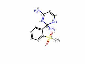 CS(=O)(=O)c1ccccc1C1(N)N=C(N)C=CN1